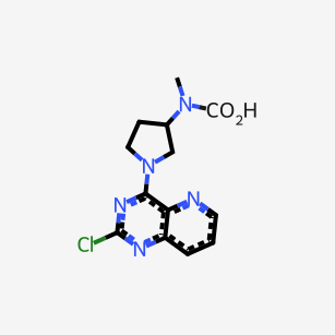 CN(C(=O)O)C1CCN(c2nc(Cl)nc3cccnc23)C1